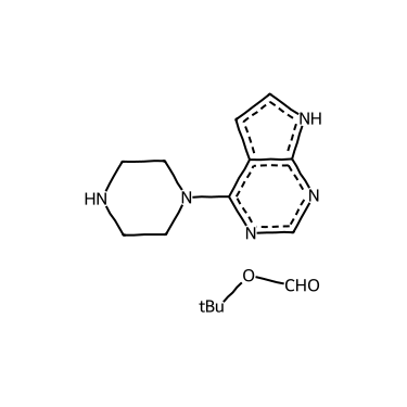 CC(C)(C)OC=O.c1nc(N2CCNCC2)c2cc[nH]c2n1